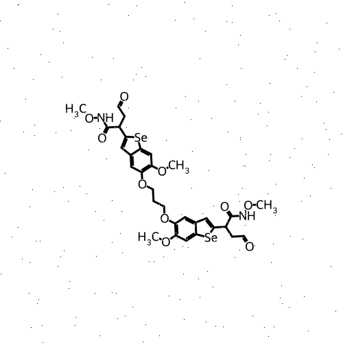 CONC(=O)C(CC=O)c1cc2cc(OCCCOc3cc4cc(C(CC=O)C(=O)NOC)[se]c4cc3OC)c(OC)cc2[se]1